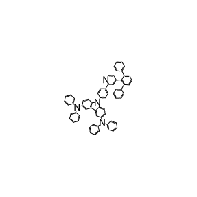 c1ccc(-c2cccc(-c3ccccc3)c2-c2ccnc(-c3ccc(-n4c5ccc(N(c6ccccc6)c6ccccc6)cc5c5cc(N(c6ccccc6)c6ccccc6)ccc54)cc3)c2)cc1